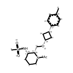 CC(=O)N1CCC[C@H](NS(C)(=O)=O)[C@@H]1CO[C@H]1C[C@@H](c2ccc(C)cc2)C1